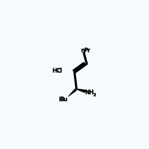 CCCC=C[C@@H](N)[C@@H](C)CC.Cl